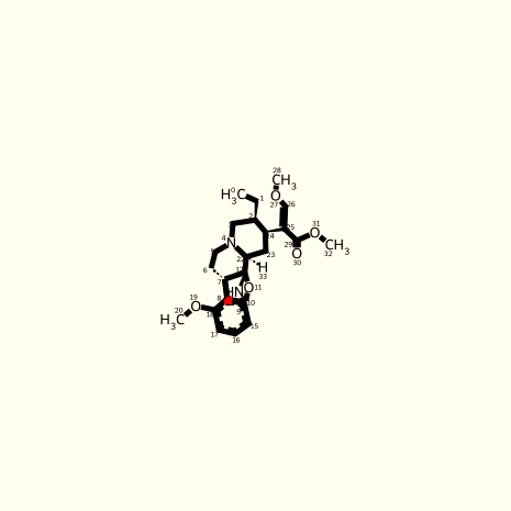 CC[C@@H]1CN2CC[C@@]34OCCO[C@@]3(Nc3cccc(OC)c34)[C@@H]2C[C@@H]1/C(=C\OC)C(=O)OC